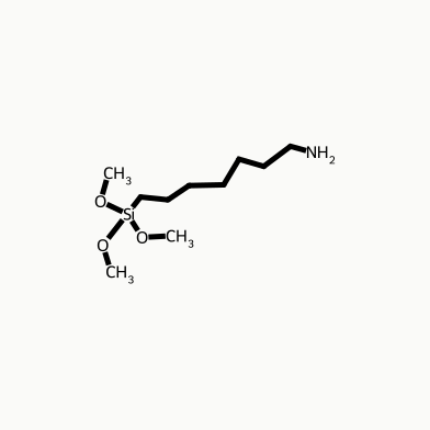 CO[Si](CCCCCCCN)(OC)OC